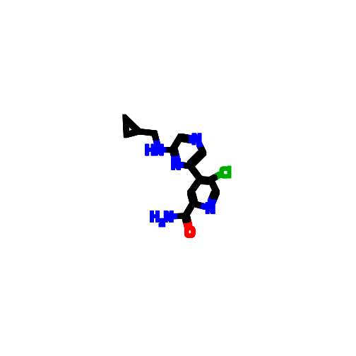 NC(=O)c1cc(-c2cncc(NCC3CC3)n2)c(Cl)cn1